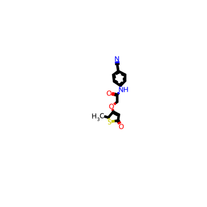 CC1SC(=O)C=C1OCC(=O)Nc1ccc(C#N)cc1